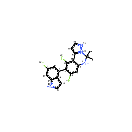 CC1(C)Nc2cc(F)c(-c3cc(F)cc4[nH]ccc34)c(F)c2-c2ccnn21